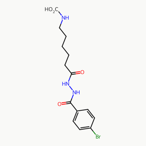 O=C(O)NCCCCCC(=O)NNC(=O)c1ccc(Br)cc1